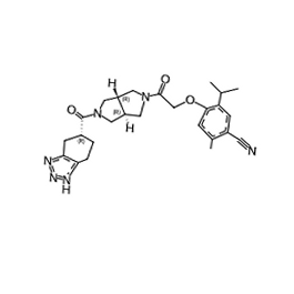 Cc1cc(OCC(=O)N2C[C@H]3CN(C(=O)[C@@H]4CCc5[nH]nnc5C4)C[C@@H]3C2)c(C(C)C)cc1C#N